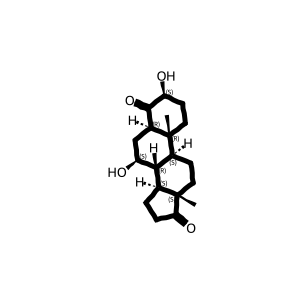 C[C@]12CC[C@H](O)C(=O)[C@@H]1C[C@H](O)[C@@H]1[C@@H]2CC[C@]2(C)C(=O)CC[C@@H]12